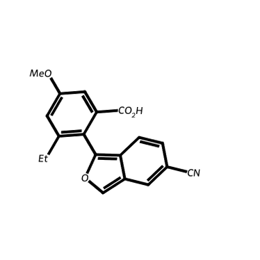 CCc1cc(OC)cc(C(=O)O)c1-c1occ2cc(C#N)ccc12